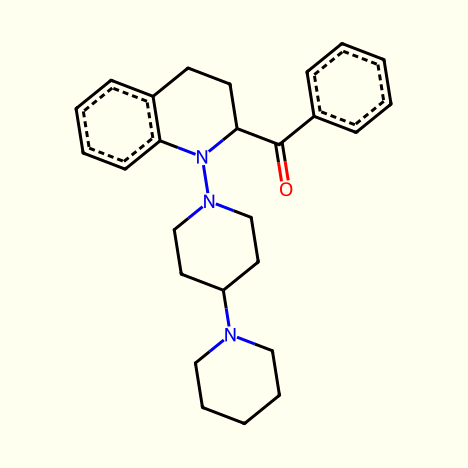 O=C(c1ccccc1)C1CCc2ccccc2N1N1CCC(N2CCCCC2)CC1